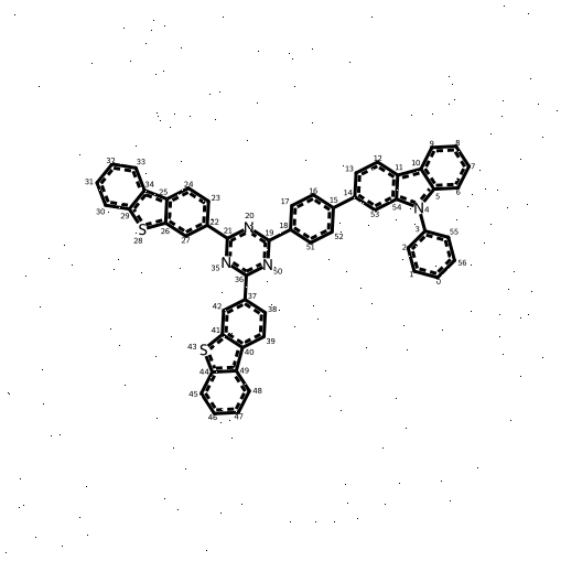 c1ccc(-n2c3ccccc3c3ccc(-c4ccc(-c5nc(-c6ccc7c(c6)sc6ccccc67)nc(-c6ccc7c(c6)sc6ccccc67)n5)cc4)cc32)cc1